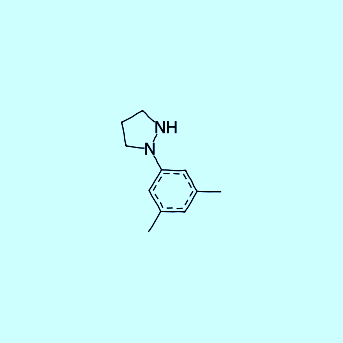 Cc1cc(C)cc(N2CCCN2)c1